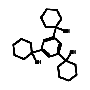 OC1(c2cc(C3(O)CCCCC3)cc(C3(O)CCCCC3)c2)CCCCC1